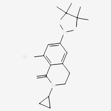 COc1cc(B2OC(C)(C)C(C)(C)O2)cc2c1C(=O)N(C1CC1)CC2